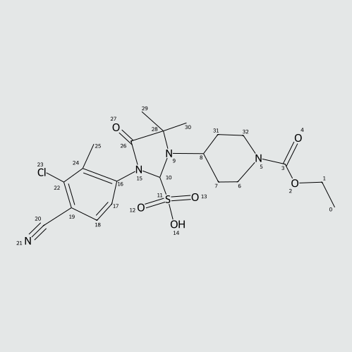 CCOC(=O)N1CCC(N2C(S(=O)(=O)O)N(c3ccc(C#N)c(Cl)c3C)C(=O)C2(C)C)CC1